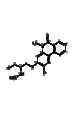 CCc1cc2c3ccncc3c(=O)n(C)c2cc1OCC(CC(C)C)NC(=O)O